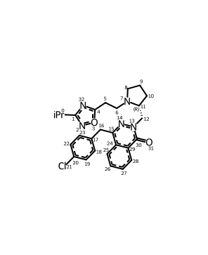 CC(C)c1noc(CCN2CCC[C@@H]2Cn2nc(Cc3ccc(Cl)cc3)c3ccccc3c2=O)n1